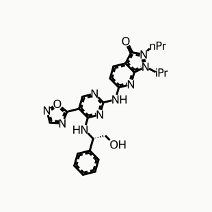 CCCn1c(=O)c2ccc(Nc3ncc(-c4ncno4)c(N[C@H](CO)c4ccccc4)n3)nc2n1C(C)C